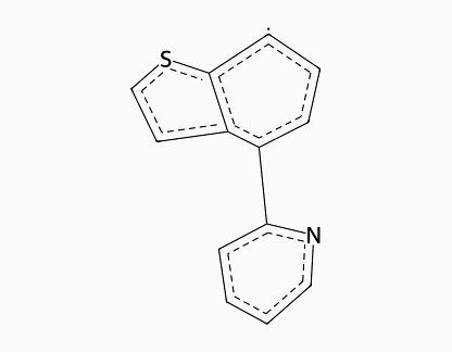 [c]1ccc(-c2ccccn2)c2ccsc12